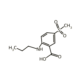 CCCNc1ccc(S(C)(=O)=O)cc1C(=O)O